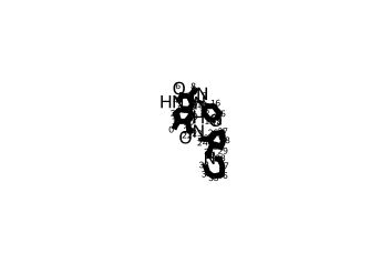 Cc1cc2[nH]c(=O)c3cnn(C4CCOCC4)c3c2cc1C(=O)NCc1ccccc1CN1CCCCCC1